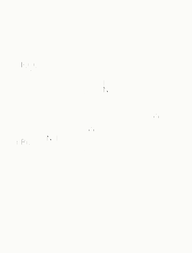 CCCCNc1cc(C(=O)O)cc(NCc2ccco2)c1Oc1ccccc1